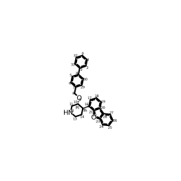 c1ccc(-c2ccc(CO[C@H]3CNCC[C@@H]3c3cccc4c3oc3ccccc34)cc2)cc1